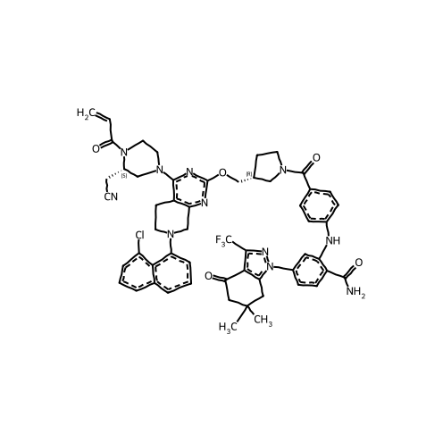 C=CC(=O)N1CCN(c2nc(OC[C@@H]3CCN(C(=O)c4ccc(Nc5cc(-n6nc(C(F)(F)F)c7c6CC(C)(C)CC7=O)ccc5C(N)=O)cc4)C3)nc3c2CCN(c2cccc4cccc(Cl)c24)C3)C[C@@H]1CC#N